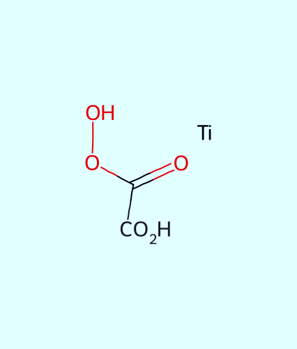 O=C(O)C(=O)OO.[Ti]